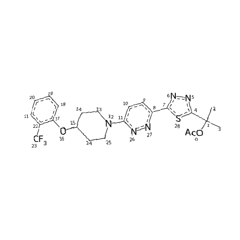 CC(=O)OC(C)(C)c1nnc(-c2ccc(N3CCC(Oc4ccccc4C(F)(F)F)CC3)nn2)s1